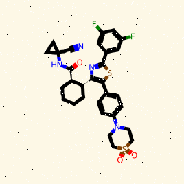 N#CC1(NC(=O)[C@@H]2CCCC[C@H]2c2nc(-c3cc(F)cc(F)c3)sc2-c2ccc(N3CCS(=O)(=O)CC3)cc2)CC1